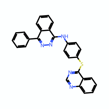 c1ccc(-c2nnc(Nc3ccc(Sc4ncnc5ccccc45)cc3)c3ccccc23)cc1